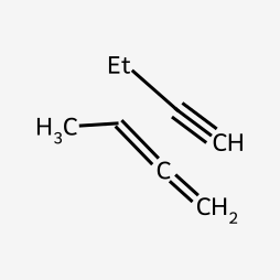 C#CCC.C=C=CC